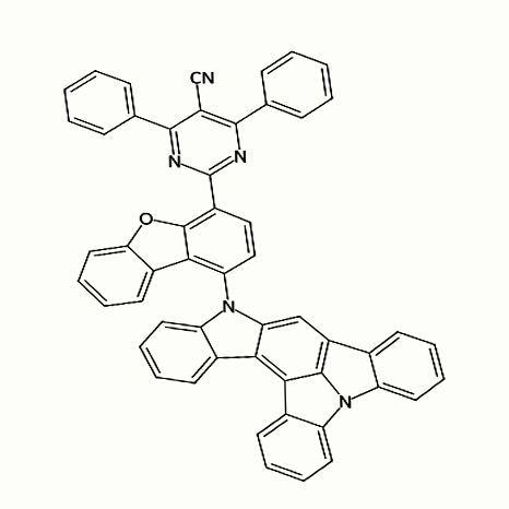 N#Cc1c(-c2ccccc2)nc(-c2ccc(-n3c4ccccc4c4c5c6ccccc6n6c7ccccc7c(cc43)c56)c3c2oc2ccccc23)nc1-c1ccccc1